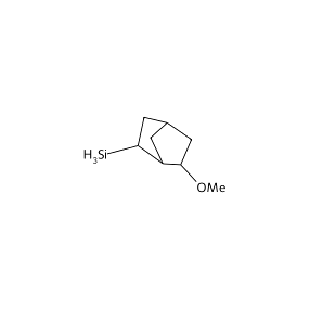 COC1CC2CC([SiH3])C1C2